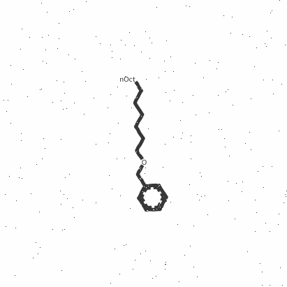 CCCCCCCCCCCCCCOCc1ccccc1